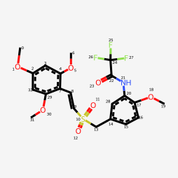 COc1cc(OC)c(/C=C/S(=O)(=O)Cc2ccc(OC)c(NC(=O)C(F)(F)F)c2)c(OC)c1